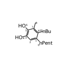 CCCCCc1cc(O)c(O)c(C)c1CCCC